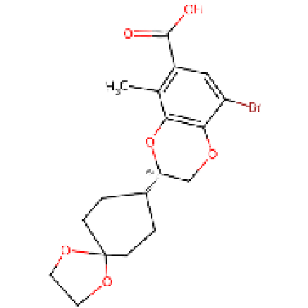 Cc1c(C(=O)O)cc(Br)c2c1O[C@@H](C1CCC3(CC1)OCCO3)CO2